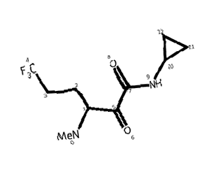 CNC(CCC(F)(F)F)C(=O)C(=O)NC1CC1